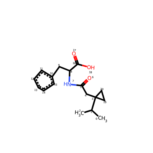 CC(C)C1(CC(=O)NC(Cc2ccccc2)C(=O)O)CC1